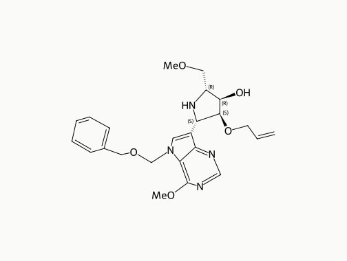 C=CCO[C@@H]1[C@H](O)[C@@H](COC)N[C@H]1c1cn(COCc2ccccc2)c2c(OC)ncnc12